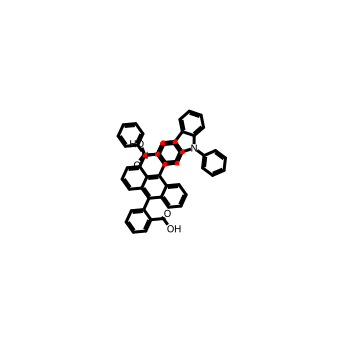 O=C(O)c1ccccc1-c1c2ccccc2c(-c2ccccc2C(=O)O)c2c(N(c3ccccc3)c3ccc4c(c3)c3ccccc3n4-c3ccccc3)cccc12